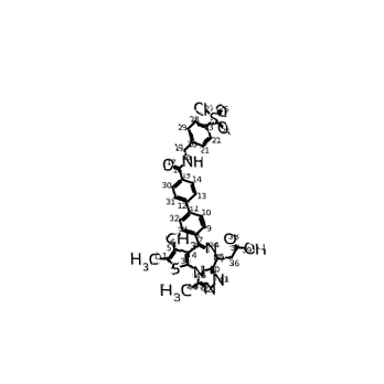 Cc1sc2c(c1C)C(c1ccc(-c3ccc(C(=O)NCc4ccc(S(=O)(=O)Cl)cc4)cc3)cc1)=N[C@@H](CC(=O)O)c1nnc(C)n1-2